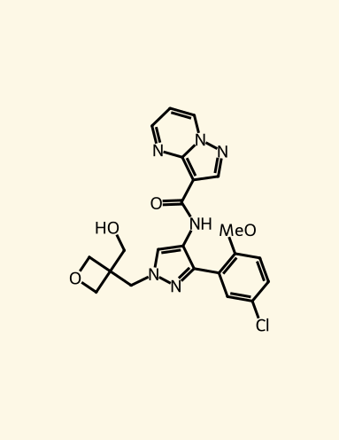 COc1ccc(Cl)cc1-c1nn(CC2(CO)COC2)cc1NC(=O)c1cnn2cccnc12